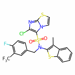 Cc1c(N(Cc2ccc(F)c(C(F)(F)F)c2)S(=O)(=O)c2c(Cl)nc3sccn23)sc2ccccc12